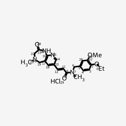 CCOc1ccc(CN(C)C(=O)/C=C/c2cnc3c(c2)CN(C)CC(=O)N3)cc1OC.Cl